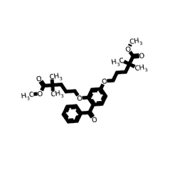 COC(=O)C(C)(C)CCCOc1ccc(C(=O)c2ccccc2)c(OCCCC(C)(C)C(=O)OC)c1